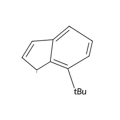 CC(C)(C)c1cccc2c1[CH]C=C2